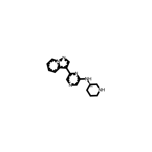 c1ccn2ncc(-c3cncc(N[C@@H]4CCCNC4)n3)c2c1